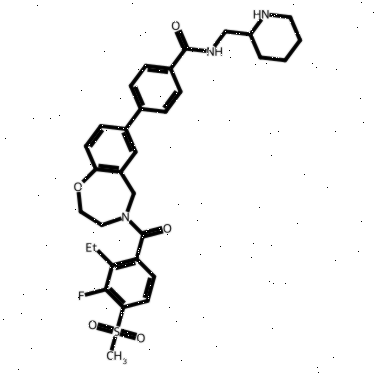 CCc1c(C(=O)N2CCOc3ccc(-c4ccc(C(=O)NCC5CCCCN5)cc4)cc3C2)ccc(S(C)(=O)=O)c1F